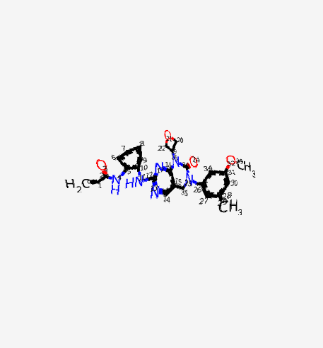 C=CC(=O)Nc1ccccc1Nc1ncc2c(n1)N(C1COC1)C(=O)N(c1cc(C)cc(OC)c1)C2